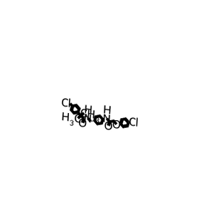 CC(C)(C(=O)NC[C@H]1CC[C@H](NC(=O)COc2ccc(Cl)cc2)CC1)c1ccc(Cl)cc1